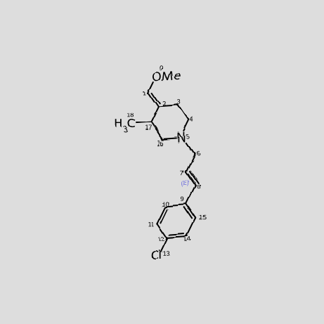 COC=C1CCN(C/C=C/c2ccc(Cl)cc2)CC1C